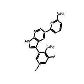 CNc1cccc(-c2cnc3[nH]cc(-c4cc(F)cc(F)c4OC)c3c2)n1